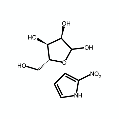 O=[N+]([O-])c1ccc[nH]1.OC[C@H]1OC(O)[C@H](O)[C@@H]1O